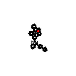 c1ccc(-c2ccc(-c3nc(-c4ccc5c(c4)-c4ccccc4C54c5ccccc5-c5c4c4ccccc4c4ccccc54)nc4ccccc34)cc2)cc1